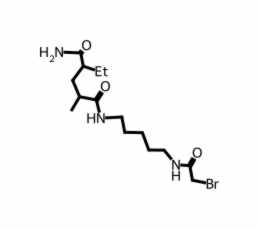 CCC(CC(C)C(=O)NCCCCCNC(=O)CBr)C(N)=O